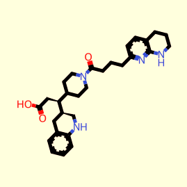 O=C(O)C[C@@H](C1CCN(C(=O)CCCc2ccc3c(n2)NCCC3)CC1)[C@H]1CNc2ccccc2C1